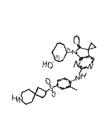 Cc1cc(S(=O)(=O)C2CC3(CCNCC3)C2)ccc1Nc1ncc2c(n1)N([C@@H]1CCC[C@@H](O)C1)C(=O)C21CC1